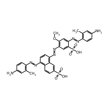 COc1cc(N=Nc2ccc(N)cc2C)c(S(=O)(=O)O)cc1N=Nc1ccc(N=Nc2ccc(N)cc2C)c2ccc(S(=O)(=O)O)cc12